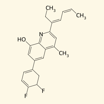 C/C=C\C=C(/CC)c1cc(C)c2cc(C3=CC=C(F)C(F)C3)cc(O)c2n1